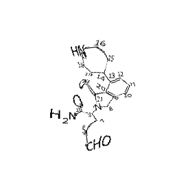 NC(=O)C(CCC=O)N1Cc2cccc(C3CCNCC3)c2C1=O